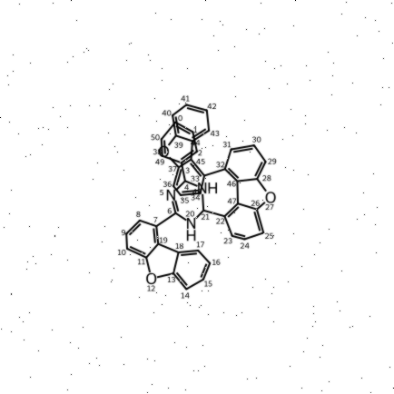 c1ccc(C2N=C(c3cccc4oc5ccccc5c34)NC(c3cccc4oc5cccc(-c6cccc7oc8ccccc8c67)c5c34)N2)cc1